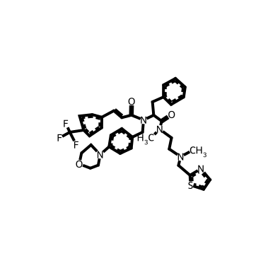 CN(CCN(C)C(=O)C(Cc1ccccc1)N(Cc1ccc(N2CCOCC2)cc1)C(=O)C=Cc1ccc(C(F)(F)F)cc1)Cc1nccs1